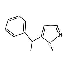 CC(c1ccccc1)c1ccnn1C